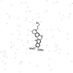 COc1cc2cc3c([n+](C)c2cc1OC)-c1cc2c(cc1OC3)N(CCCC(C)=O)CCC2